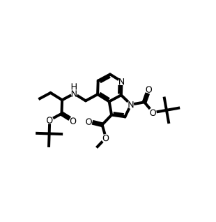 CCC(NCc1ccnc2c1c(C(=O)OC)cn2C(=O)OC(C)(C)C)C(=O)OC(C)(C)C